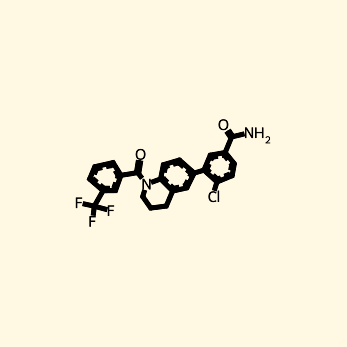 NC(=O)c1ccc(Cl)c(-c2ccc3c(c2)CCCN3C(=O)c2cccc(C(F)(F)F)c2)c1